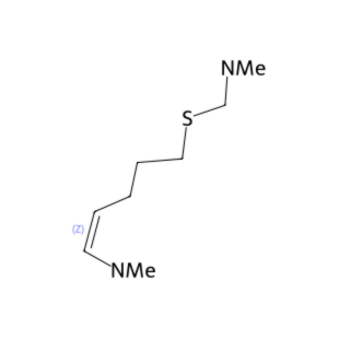 CN/C=C\CCCSCNC